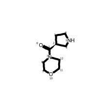 O=C([C@H]1CCNC1)N1CCOCC1